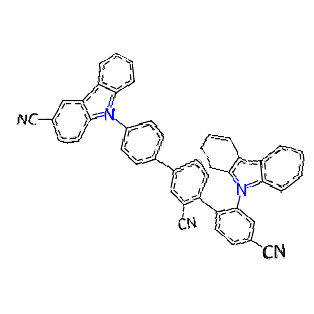 N#Cc1ccc(-c2ccc(-c3ccc(-n4c5ccccc5c5cc(C#N)ccc54)cc3)cc2C#N)c(-n2c3c(c4ccccc42)C=CCC3)c1